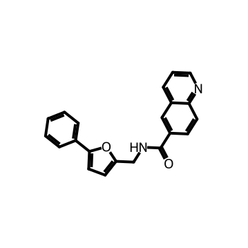 O=C(NCc1ccc(-c2ccccc2)o1)c1ccc2ncccc2c1